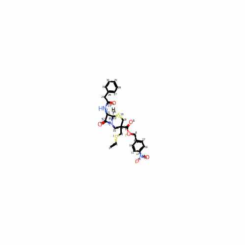 C=CSCC1(C(=O)OCc2ccc([N+](=O)[O-])cc2)CS[C@@H]2C(NC(=O)Cc3ccccc3)C(=O)N2C1